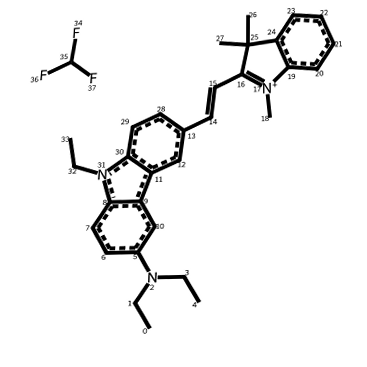 CCN(CC)c1ccc2c(c1)c1cc(/C=C/C3=[N+](C)c4ccccc4C3(C)C)ccc1n2CC.FC(F)F